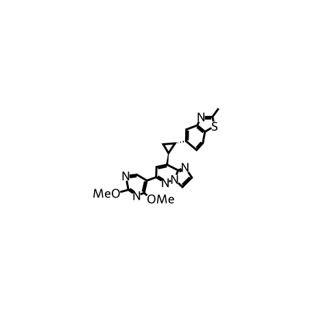 COc1ncc(-c2cc([C@H]3C[C@@H]3c3ccc4sc(C)nc4c3)c3nccn3n2)c(OC)n1